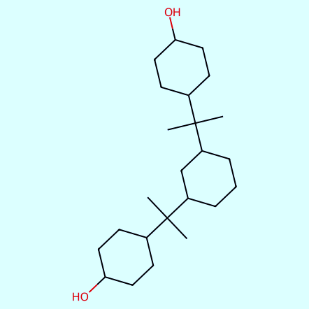 CC(C)(C1CCC(O)CC1)C1CCCC(C(C)(C)C2CCC(O)CC2)C1